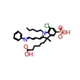 CCCCCN1C(=CC=CC=Nc2ccccc2)C(C)(CCCCCC(=O)O)c2cc(S(=O)(=O)O)cc(Cl)c21